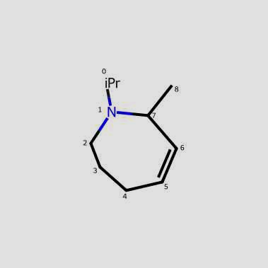 CC(C)N1CCCC=CC1C